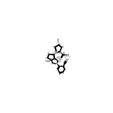 N#Cc1ccccc1N1C[C@H]2CC[C@H](N3C[C@H](F)C[C@H]3C(N)=O)[C@H]2C1